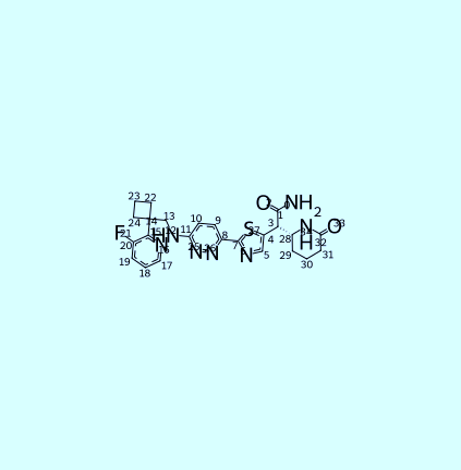 NC(=O)C(c1cnc(-c2ccc(NCC3(c4ncccc4F)CCC3)nn2)s1)[C@H]1CCCC(=O)N1